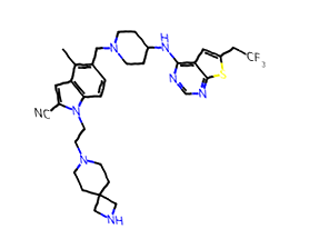 Cc1c(CN2CCC(Nc3ncnc4sc(CC(F)(F)F)cc34)CC2)ccc2c1cc(C#N)n2CCN1CCC2(CC1)CNC2